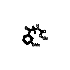 COc1cccc(C(=O)C(C)(C)NC(=O)OC(C)(C)C)c1